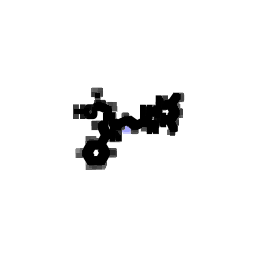 Cc1cc(C)n2nc(/C=C/c3nc(-c4ccccc4)cn3C[C@@H](C)O)nc2n1